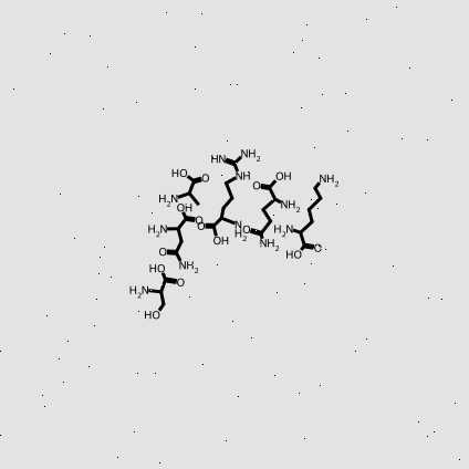 CC(N)C(=O)O.N=C(N)NCCCC(N)C(=O)O.NC(=O)CC(N)C(=O)O.NC(=O)CCC(N)C(=O)O.NC(CO)C(=O)O.NCCCCC(N)C(=O)O